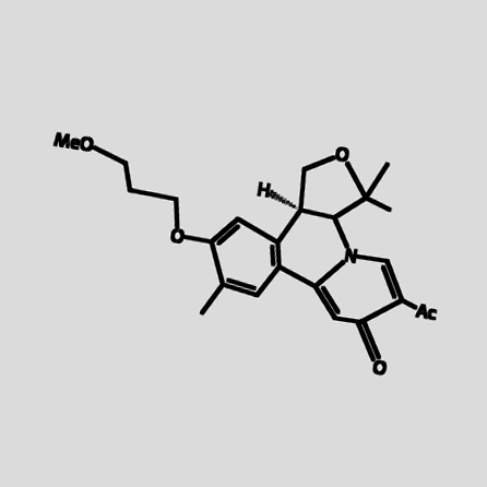 COCCCOc1cc2c(cc1C)-c1cc(=O)c(C(C)=O)cn1C1[C@@H]2COC1(C)C